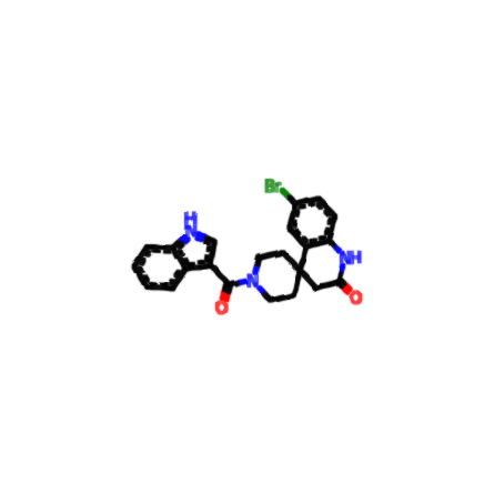 O=C1CC2(CCN(C(=O)c3c[nH]c4ccccc34)CC2)c2cc(Br)ccc2N1